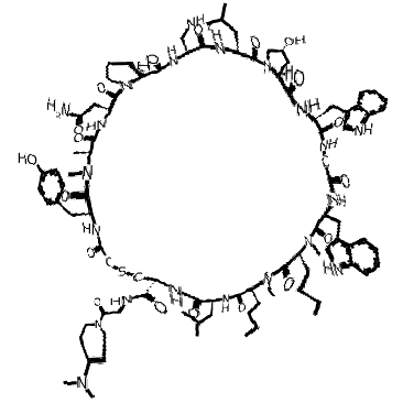 CCCC[C@H]1C(=O)N(C)[C@@H](CCCC)C(=O)N[C@@H](CC(C)C)C(=O)N[C@H](C(=O)NCC(=O)N2CCC(N(C)C)CC2)CSCC(=O)N[C@@H](Cc2ccc(O)cc2)C(=O)N(C)[C@@H](C)C(=O)N[C@@H](CC(N)=O)C(=O)N2CCC[C@H]2C(=O)N[C@@H](CN)C(=O)N[C@@H](CC(C)C)C(=O)N2C[C@H](O)C[C@H]2C(=O)N[C@@H](Cc2c[nH]c3ccccc23)C(=O)NCC(=O)NC(Cc2c[nH]c3ccccc23)C(=O)N1C